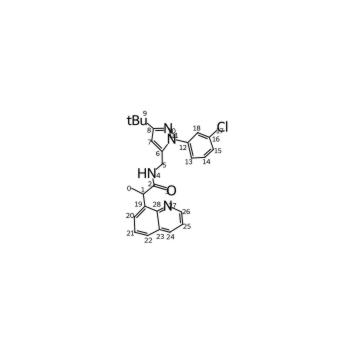 CC(C(=O)NCc1cc(C(C)(C)C)nn1-c1cccc(Cl)c1)c1cccc2cccnc12